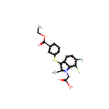 CCOC(=O)c1cccc(Sc2c(C)n(CC(=O)O)c3c(F)c(Cl)ccc23)c1